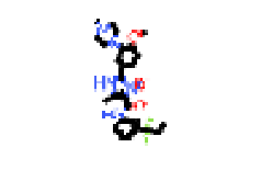 CCC(F)(F)c1cccc(NC(=O)c2c(C)[nH]c(-c3ccc(OC)c(N4CCN(C)CC4)c3)[n+]2[O-])c1